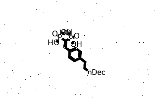 CCCCCCCCCCCCc1ccc(C=C(P(=O)(O)O)P(=O)(O)O)cc1